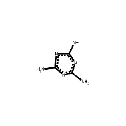 [NH]c1nc(N)nc(N)n1